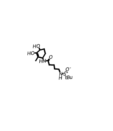 CC1=C(O)C(O)CCC1NC(=O)CCCCN[S+]([O-])C(C)(C)C